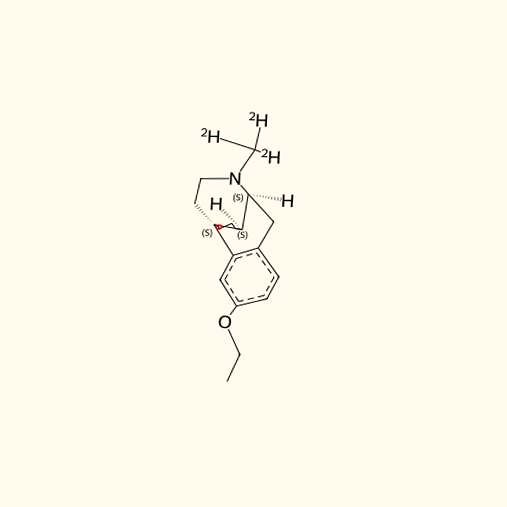 [2H]C([2H])([2H])N1CC[C@@]23CCCC[C@@H]2[C@@H]1Cc1ccc(OCC)cc13